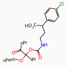 CCCCCOC(OC(=O)NCCC(C(=O)O)c1ccc(Cl)cc1)(C(=O)CCC)C(C)C